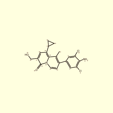 Cc1c(-c2cc(Cl)c(N)c(Cl)c2)ccn2c(=O)c(CO)cc(C3CC3)c12